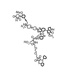 COc1ccc(C#CCNC2(C)CCN(C3CCN(c4nc([C@@](COCNC(=O)[C@H](CC(=O)O)NC(=O)CCOCCOCCN5C(=O)C(Sc6ccccc6)=C(Sc6ccccc6)C5=O)(OC5CC5)c5ccccc5)c5cc(-c6cn(C)c(=O)c7[nH]ccc67)ccc5n4)CC3)CC2)cc1N1CCC(=O)NC1=O